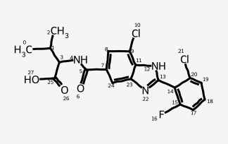 CC(C)C(NC(=O)c1cc(Cl)c2[nH]c(-c3c(F)cccc3Cl)nc2c1)C(=O)O